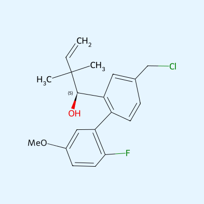 C=CC(C)(C)[C@H](O)c1cc(CCl)ccc1-c1cc(OC)ccc1F